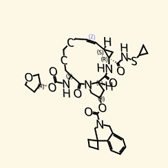 O=C(N[C@H]1CCCCC/C=C\[C@@H]2C[C@@]2(C(=O)NSC2CC2)NC(=O)[C@@H]2C[C@@H](OC(=O)N3Cc4ccccc4C4(CCC4)C3)CN2C1=O)O[C@@H]1CCOC1